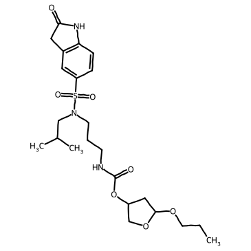 CCCOC1CC(OC(=O)NCCCN(CC(C)C)S(=O)(=O)c2ccc3c(c2)CC(=O)N3)CO1